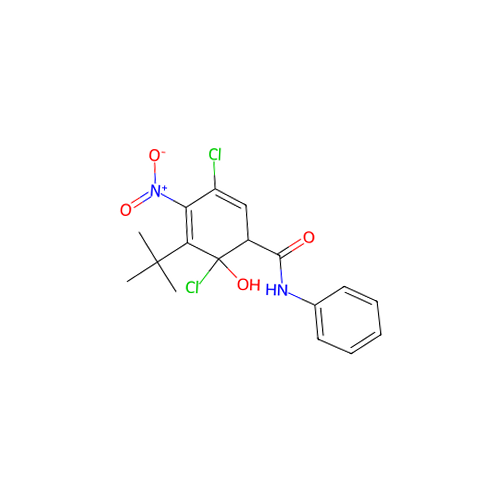 CC(C)(C)C1=C([N+](=O)[O-])C(Cl)=CC(C(=O)Nc2ccccc2)C1(O)Cl